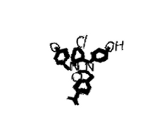 COc1ccc(CN2C(=O)C(Cc3ccc(C(C)C)cc3)N=C(c3ccc(O)cc3)c3cc(Cl)ccc32)cc1